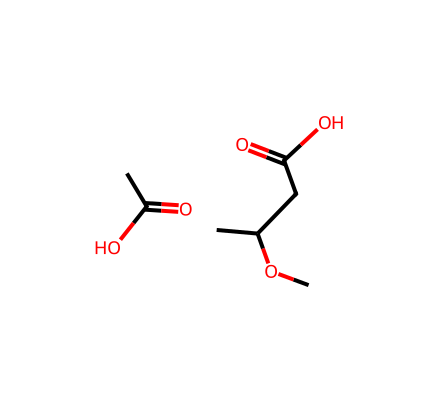 CC(=O)O.COC(C)CC(=O)O